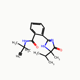 C#CC(C)(C)NC(=O)c1ccccc1C1=NC(=O)C(C)(C(C)C)N1